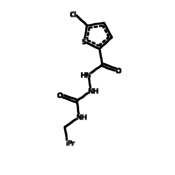 CC(C)CNC(=O)NNC(=O)c1ccc(Cl)s1